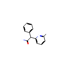 Cc1cccc(C(C(N)=O)c2ccccc2)n1